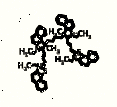 CCN1C(=CC=CC2=[N+](CC)c3ccc4ccccc4c3C2(C)CCCCC2(C)C(C=CC=C3Sc4c(ccc5ccccc45)N3CC)=[N+](CC)c3ccc4ccccc4c32)Sc2c1ccc1ccccc21